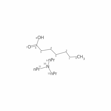 CCCCCCC(=O)O.CCCN(CCC)CCC